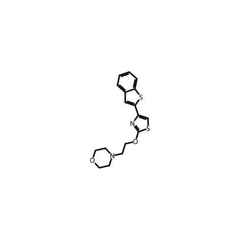 c1ccc2sc(-c3csc(OCCN4CCOCC4)n3)cc2c1